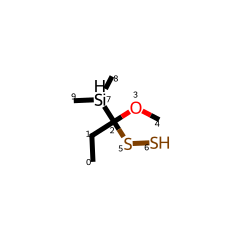 CCC(OC)(SS)[SiH](C)C